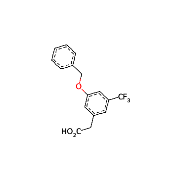 O=C(O)Cc1cc(OCc2ccccc2)cc(C(F)(F)F)c1